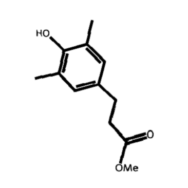 COC(=O)CCc1cc(C)c(O)c(C)c1